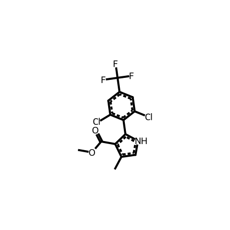 COC(=O)c1c(C)c[nH]c1-c1c(Cl)cc(C(F)(F)F)cc1Cl